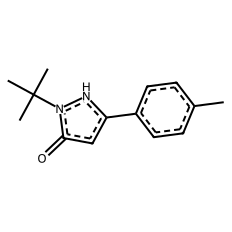 Cc1ccc(-c2cc(=O)n(C(C)(C)C)[nH]2)cc1